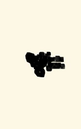 CCCCC1N(C)C(=O)C(Cc2cn(Cc3ccccc3)c3ccccc23)(c2ccccn2)N1C(=O)NC